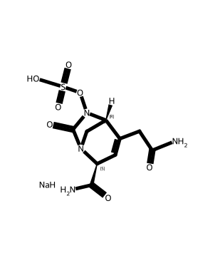 NC(=O)CC1=C[C@@H](C(N)=O)N2C[C@@H]1N(OS(=O)(=O)O)C2=O.[NaH]